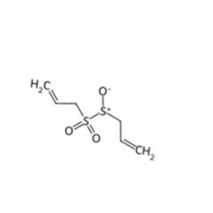 C=CC[S+]([O-])S(=O)(=O)CC=C